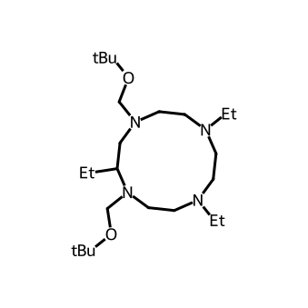 CCC1CN(COC(C)(C)C)CCN(CC)CCN(CC)CCN1COC(C)(C)C